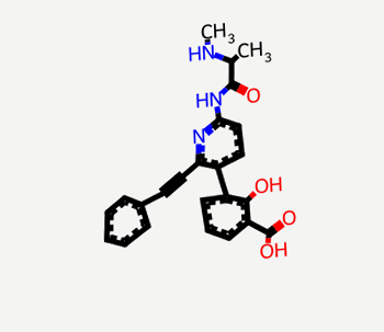 CNC(C)C(=O)Nc1ccc(-c2cccc(C(=O)O)c2O)c(C#Cc2ccccc2)n1